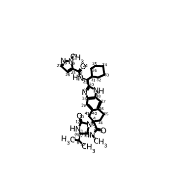 CNC(=O)C1(N2C[C@@H](C(C)C)NC2=O)CCc2cc3[nH]c([C@@H](NC(=O)c4ccnn4C)C4CCCCC4)nc3cc2C1